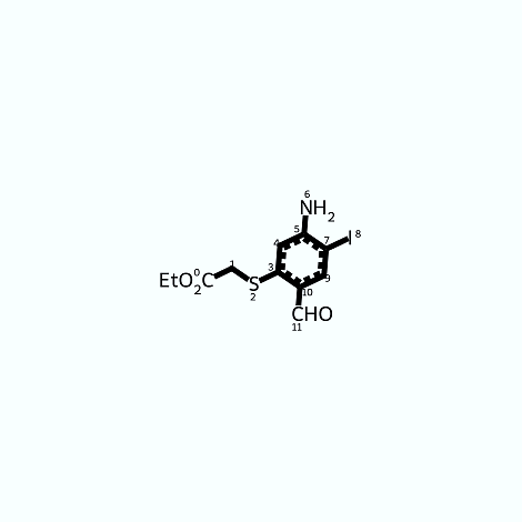 CCOC(=O)CSc1cc(N)c(I)cc1C=O